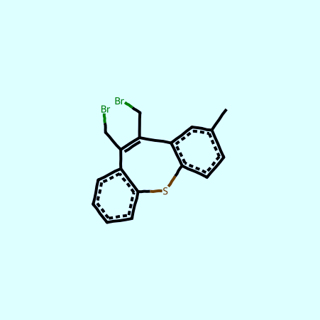 Cc1ccc2c(c1)C(CBr)=C(CBr)c1ccccc1S2